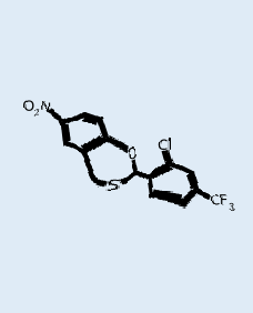 O=[N+]([O-])c1ccc2c(c1)CSC(c1ccc(C(F)(F)F)cc1Cl)O2